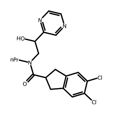 CCCN(CC(O)c1cnccn1)C(=O)C1Cc2cc(Cl)c(Cl)cc2C1